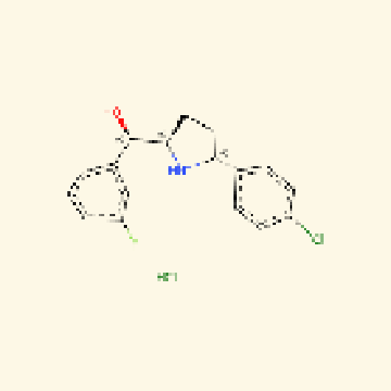 Cl.O[C@H](c1cccc(F)c1)[C@H]1CC[C@H](c2ccc(Cl)cc2)N1